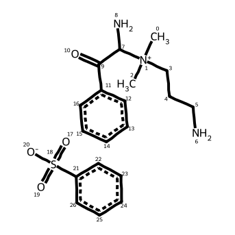 C[N+](C)(CCCN)C(N)C(=O)c1ccccc1.O=S(=O)([O-])c1ccccc1